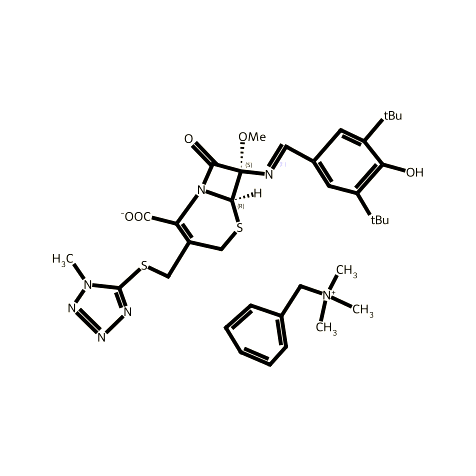 CO[C@@]1(/N=C/c2cc(C(C)(C)C)c(O)c(C(C)(C)C)c2)C(=O)N2C(C(=O)[O-])=C(CSc3nnnn3C)CS[C@@H]21.C[N+](C)(C)Cc1ccccc1